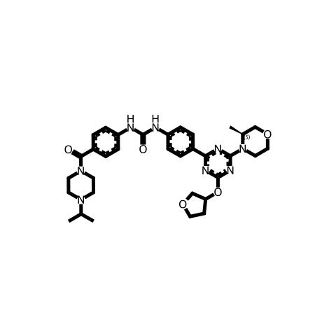 CC(C)N1CCN(C(=O)c2ccc(NC(=O)Nc3ccc(-c4nc(OC5CCOC5)nc(N5CCOC[C@@H]5C)n4)cc3)cc2)CC1